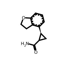 NC(=O)C1C[C@@H]1c1cccc2c1CCO2